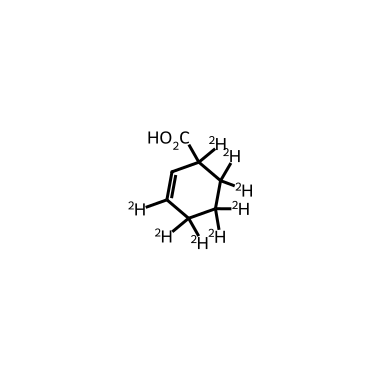 [2H]C1=CC([2H])(C(=O)O)C([2H])([2H])C([2H])([2H])C1([2H])[2H]